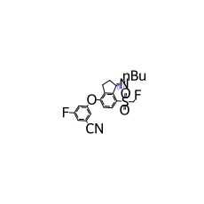 CCCC/N=C1\CCc2c(Oc3cc(F)cc(C#N)c3)ccc(S(=O)(=O)CF)c21